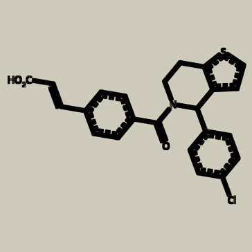 O=C(O)C=Cc1ccc(C(=O)N2CCc3sccc3C2c2ccc(Cl)cc2)cc1